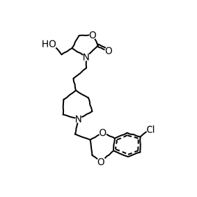 O=C1OCC(CO)N1CCC1CCN(CC2COc3ccc(Cl)cc3O2)CC1